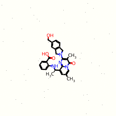 Cc1cc([C@@H](C)Nc2ccccc2C(=O)O)c2nc(N3Cc4ccc(CO)cc4C3)c(C)c(=O)n2c1